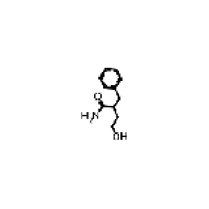 NC(=O)C(CCO)Cc1ccccc1